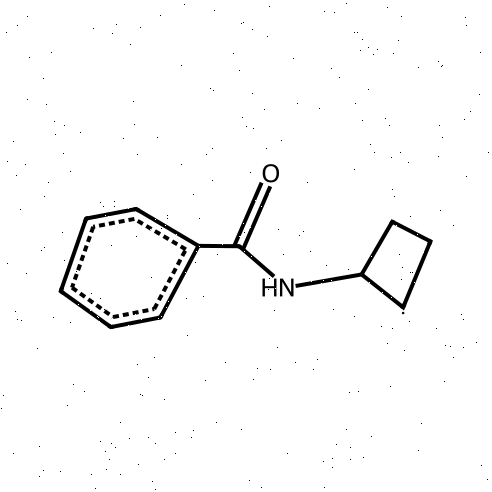 O=C(NC1[CH]CC1)c1ccccc1